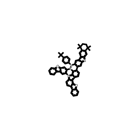 CC(C)(C)c1ccc(N2B3c4cc5oc6ccccc6c5cc4-n4c5ccc6c7ccccc7oc6c5c5ccc(c3c54)-c3cc4sc5cc6c(cc5c4cc32)C(C)(C)CCC6(C)C)cc1